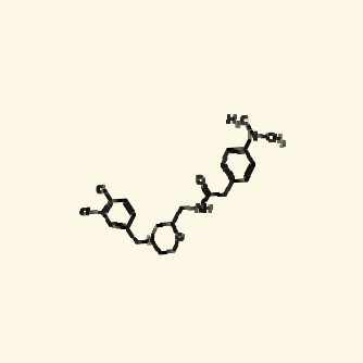 CN(C)c1ccc(CC(=O)NCC2CN(Cc3ccc(Cl)c(Cl)c3)CCO2)cc1